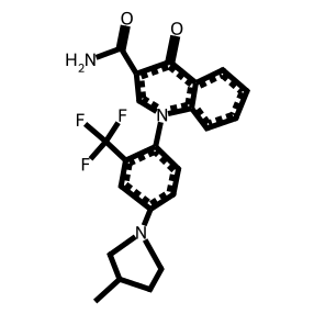 CC1CCN(c2ccc(-n3cc(C(N)=O)c(=O)c4ccccc43)c(C(F)(F)F)c2)C1